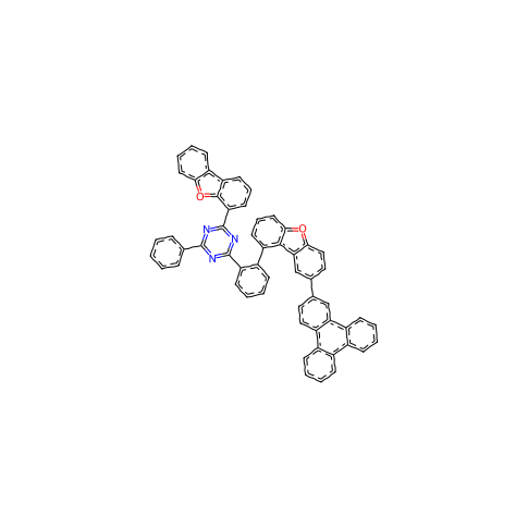 c1ccc(-c2nc(-c3ccccc3-c3cccc4oc5ccc(-c6ccc7c8ccccc8c8ccccc8c7c6)cc5c34)nc(-c3cccc4c3oc3ccccc34)n2)cc1